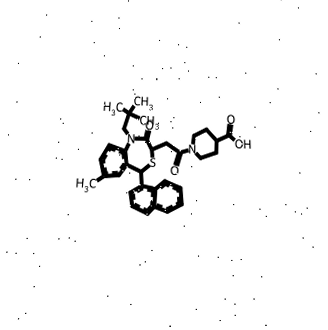 Cc1ccc2c(c1)C(c1cccc3ccccc13)SC(CC(=O)N1CCC(C(=O)O)CC1)C(=O)N2CC(C)(C)C